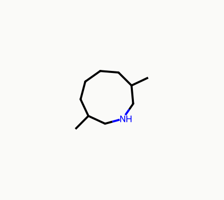 CC1CCCCC(C)CNC1